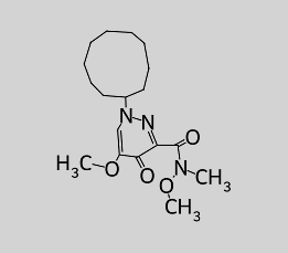 COc1cn(C2CCCCCCCCC2)nc(C(=O)N(C)OC)c1=O